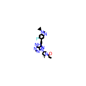 C=CC(=O)N1CC(n2nc(C#Cc3cc4ncn(C5CC5)c4cc3F)c3c(N)ncnc32)C[C@@H]1C